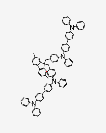 Cc1ccc2c(c1)C(Cc1ccc(N(c3ccccc3)c3ccc(-c4ccc(N(c5ccccc5)c5ccccc5)cc4)cc3)cc1)(Cc1ccc(N(c3ccccc3)c3ccc(-c4ccc(N(c5ccccc5)c5ccccc5)cc4)cc3)cc1)c1cc(C)ccc1-2